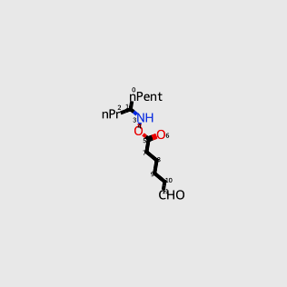 CCCCCC(CCC)NOC(=O)CCCCC=O